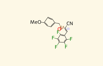 COc1ccc(C[S+]([O-])/C(C#N)=C\c2c(F)c(F)c(F)c(F)c2F)cc1